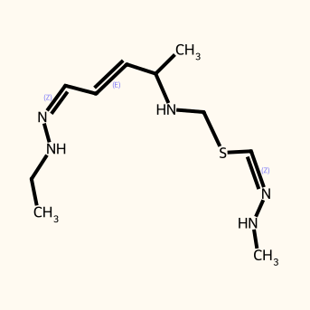 CCN/N=C\C=C\C(C)NCS/C=N\NC